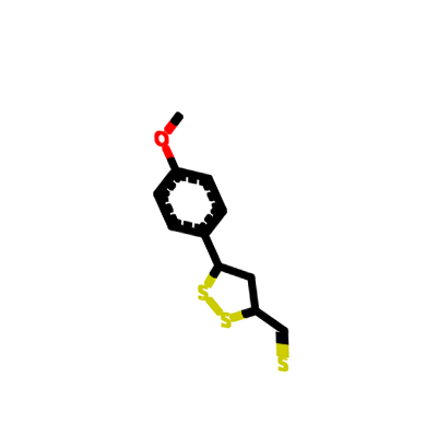 COc1ccc(C2CC(C=S)SS2)cc1